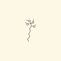 CCCCCCC(OC)C(OC)(OC)OC